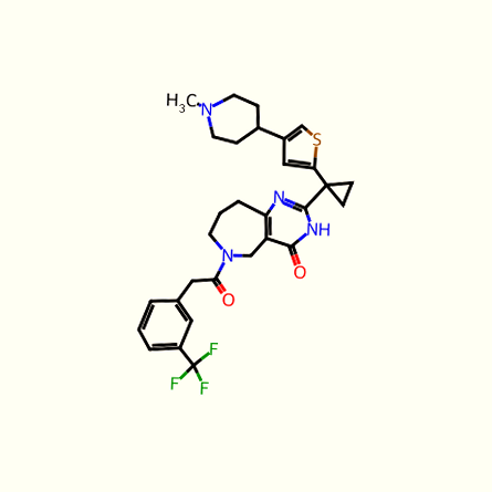 CN1CCC(c2csc(C3(c4nc5c(c(=O)[nH]4)CN(C(=O)Cc4cccc(C(F)(F)F)c4)CCC5)CC3)c2)CC1